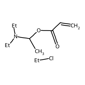 C=CC(=O)OC(C)N(CC)CC.CCCl